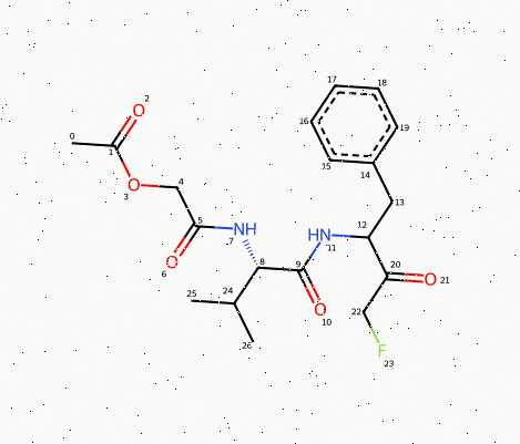 CC(=O)OCC(=O)N[C@H](C(=O)NC(Cc1ccccc1)C(=O)CF)C(C)C